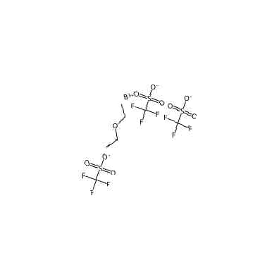 CCOCC.O=S(=O)([O-])C(F)(F)F.O=S(=O)([O-])C(F)(F)F.O=S(=O)([O-])C(F)(F)F.[B+3]